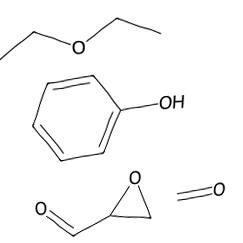 C=O.CCOCC.O=CC1CO1.Oc1ccccc1